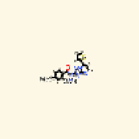 COc1cc(SC)ccc1C(=O)Nc1nc2nccc(-c3cccs3)n2n1